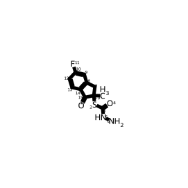 CC1(SC(=O)NN)Cc2cc(F)ccc2C1=O